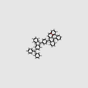 c1ccc(-c2ccccc2-c2c3ccccc3c(-c3ccc(-n4c5ccccc5c5cc(N(c6ccccc6)c6ccccc6)ccc54)cc3)c3ccccc23)cc1